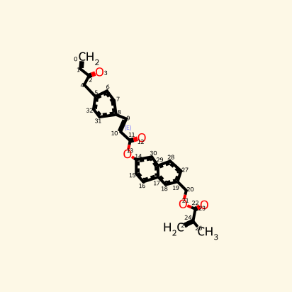 C=CC(=O)Cc1ccc(/C=C/C(=O)Oc2ccc3cc(COC(=O)C(=C)C)ccc3c2)cc1